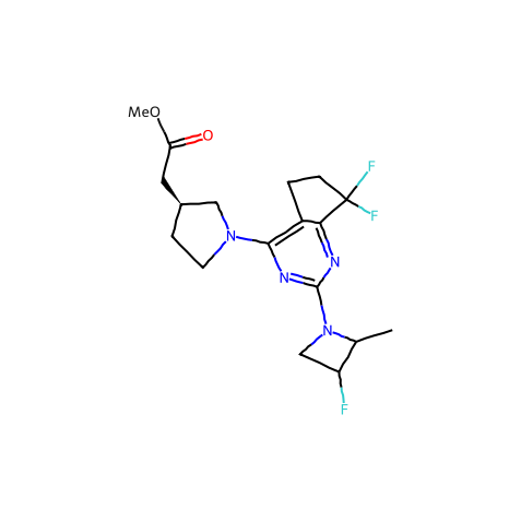 COC(=O)C[C@@H]1CCN(c2nc(N3CC(F)C3C)nc3c2CCC3(F)F)C1